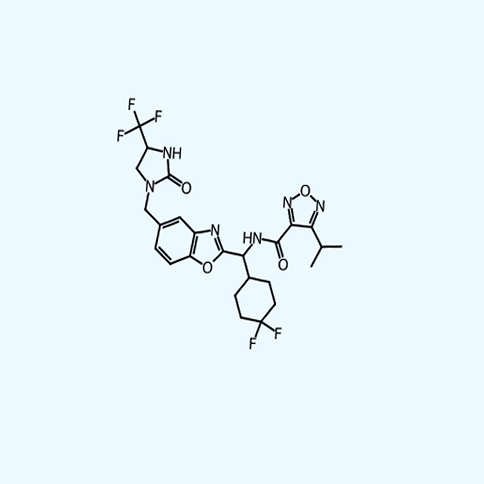 CC(C)c1nonc1C(=O)NC(c1nc2cc(CN3CC(C(F)(F)F)NC3=O)ccc2o1)C1CCC(F)(F)CC1